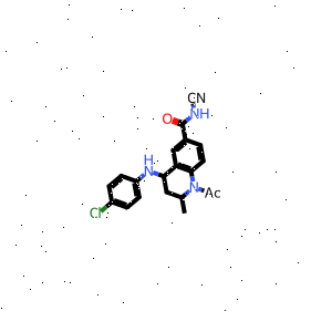 CC(=O)N1c2ccc(C(=O)NC#N)cc2C(Nc2ccc(Cl)cc2)CC1C